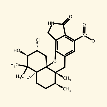 C[C@H]1CC[C@H]2C(C)(C)[C@@H](O)[C@H](Cl)C[C@]23Oc2c(cc([N+](=O)[O-])c4c2CNC4=O)C[C@]13C